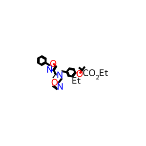 CCOC(=O)C(C)(C)Oc1ccc(CN(Cc2ncco2)[C@@H](C)c2coc(-c3ccccc3)n2)cc1CC